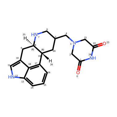 O=C1CN(CC2CN[C@@H]3Cc4c[nH]c5cccc(c45)[C@H]3C2)CC(=O)N1